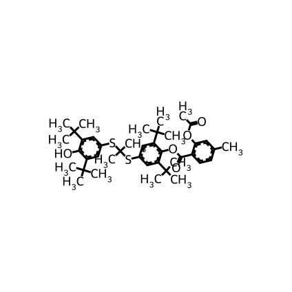 CC(=O)Oc1cc(C)ccc1C(=O)Oc1c(C(C)(C)C)cc(SC(C)(C)Sc2cc(C(C)(C)C)c(O)c(C(C)(C)C)c2)cc1C(C)(C)C